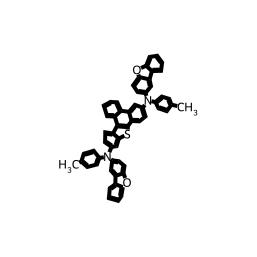 Cc1ccc(N(c2ccc3c(c2)sc2c4ccc(N(c5ccc(C)cc5)c5ccc6oc7ccccc7c6c5)cc4c4ccccc4c32)c2ccc3oc4ccccc4c3c2)cc1